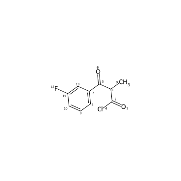 CC(C(=O)Cl)C(=O)c1cccc(F)c1